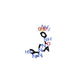 NS(=O)(=O)c1ccc(NCC(=O)N2CCN(c3ncnc4[nH]ccc34)CC23CC3)cc1